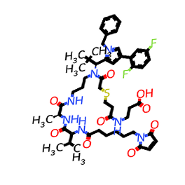 CC(C)C(NC(=O)CCCCCN1C(=O)C=CC1=O)C(=O)N[C@@H](C)C(=O)NCCCN(C(=O)CSCCC(=O)NCCC(=O)O)[C@@H](c1cc(-c2cc(F)ccc2F)cn1Cc1ccccc1)C(C)(C)C